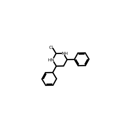 ClC1NC(c2ccccc2)CC(C2C=CC=CC2)N1